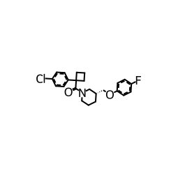 O=C(N1CCC[C@@H](COc2ccc(F)cc2)C1)C1(c2ccc(Cl)cc2)CCC1